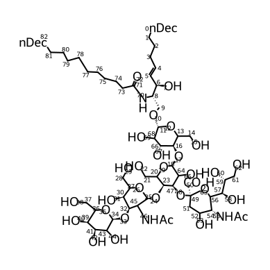 CCCCCCCCCCCCC/C=C/[C@@H](O)[C@H](CO[C@@H]1OC(CO)[C@@H](O[C@@H]2OC(CO)[C@H](O[C@@H]3OC(CO)[C@H](O)[C@H](O[C@@H]4OC(CO)[C@H](O)[C@H](O)C4O)C3NC(C)=O)[C@H](O[C@]3(C(=O)O)CC(O)[C@@H](NC(C)=O)C([C@H](O)[C@H](O)CO)O3)C2O)[C@H](O)C1O)NC(=O)CCCCCCCCCCCCCCCCCCC